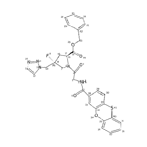 O=C(NCC(=O)N1C[C@@](F)(Cn2ccnn2)C[C@H]1C(=O)OCc1ccccc1)c1ccc2c(c1)Oc1ccccc1S2